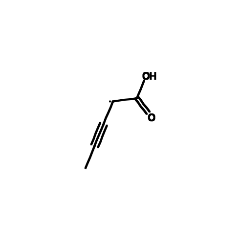 CC#C[CH]C(=O)O